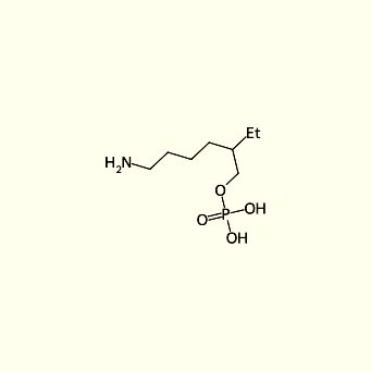 CCC(CCCCN)COP(=O)(O)O